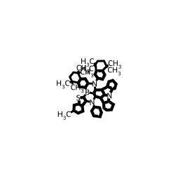 Cc1ccc2c3c(sc2c1)B1c2cc4c(cc2N(c2ccc5c(c2)C(C)(C)CCC5(C)C)c2c1c(c1c5ccccc5n5c6ccccc6c2c15)N3c1ccccc1)C(C)(C)CCC4(C)C